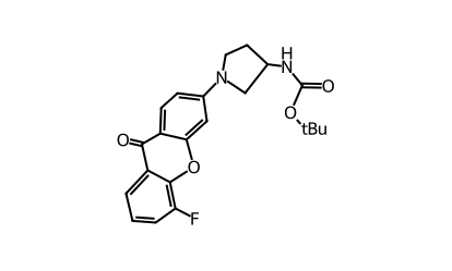 CC(C)(C)OC(=O)NC1CCN(c2ccc3c(=O)c4cccc(F)c4oc3c2)C1